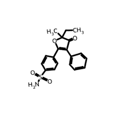 CCC1(C)OC(c2ccc(S(N)(=O)=O)cc2)=C(c2ccccc2)C1=O